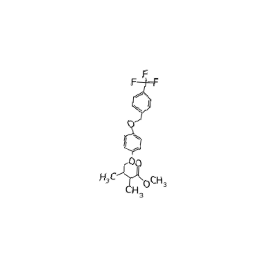 COC(=O)C(C)C(C)COc1ccc(OCc2ccc(C(F)(F)F)cc2)cc1